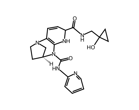 O=C(NCC1(O)CC1)C1C=CC2=C(N1)N(C(=O)Nc1ccccn1)[C@H]1CCN2C1